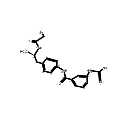 CC(C)(C)CC(=O)N[C@@H](Cc1ccc(NC(=O)c2cccc(NC(=N)N)c2)cc1)C(=O)O